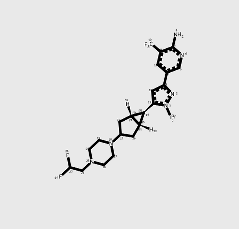 CC(C)n1nc(-c2cnc(N)c(C(F)(F)F)c2)cc1[C@H]1[C@@H]2CC(N3CCN(CC(F)F)CC3)C[C@@H]21